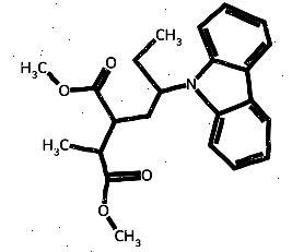 CCC(CC(C(=O)OC)C(C)C(=O)OC)n1c2ccccc2c2ccccc21